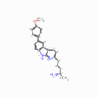 COc1ccc(-c2ccc3[nH]c4nc(CCCC(C)N)ccc4c3c2)cc1